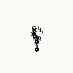 CN(C)Cc1cc2c(o1)CCN(C(=O)c1ccc(/C=C/c3ccccc3)cc1)C2.Cl